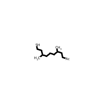 CC(=O)CCC(C)CCCC(C)CCS